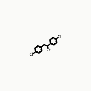 [O]C(Cc1ccc(Cl)cc1)c1ccc(Cl)cc1